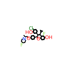 CC(COc1ccc(C2Oc3ccc(O)c(F)c3C(C3CC3)=C2c2ccc(Cl)c(O)c2)cc1)N1CCC(F)CC1